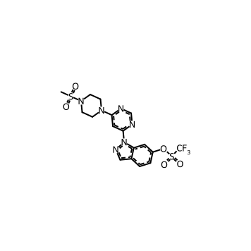 CS(=O)(=O)N1CCN(c2cc(-n3ncc4ccc(OS(=O)(=O)C(F)(F)F)cc43)ncn2)CC1